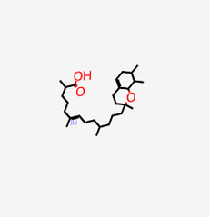 C/C(=C\CCC(C)CCCC1(C)CCC2=CCC(C)C(C)C2O1)CCCC(C)C(=O)O